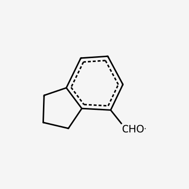 O=[C]c1cccc2c1CCC2